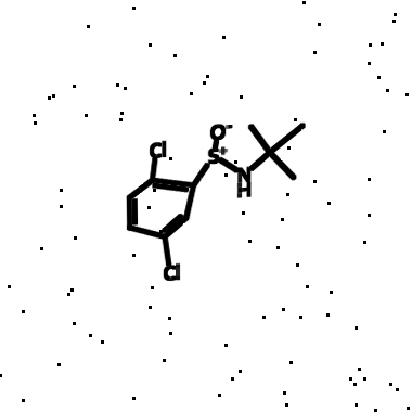 CC(C)(C)N[S+]([O-])c1cc(Cl)ccc1Cl